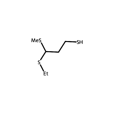 CCSC(CCS)SC